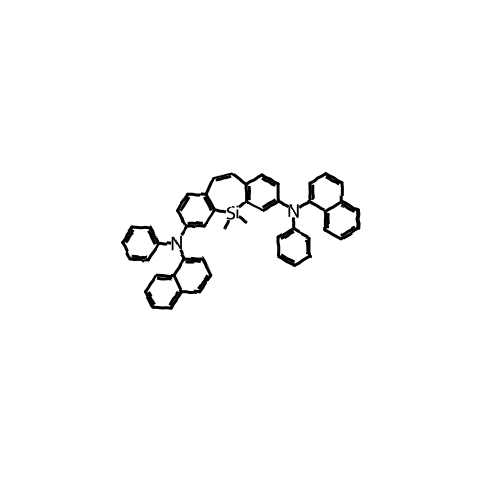 C[Si]1(C)c2cc(N(c3ccccc3)c3cccc4ccccc34)ccc2C=Cc2ccc(N(c3ccccc3)c3cccc4ccccc34)cc21